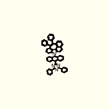 c1ccc(C2=C(c3ccccc3)c3cccc4c3c3c5c2cccc5ccc3n4-c2c3ccccc3c(-c3nc(-c4ccccc4)nc(-c4ccccc4)n3)c3ccccc23)cc1